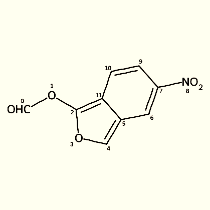 O=COc1occ2cc([N+](=O)[O-])ccc12